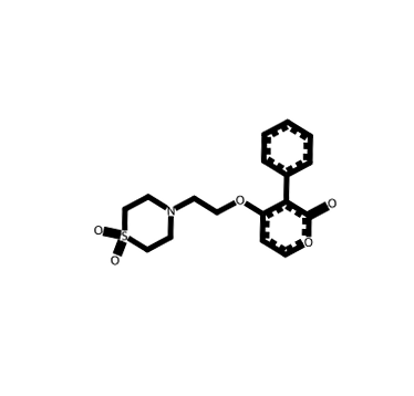 O=c1occc(OCCN2CCS(=O)(=O)CC2)c1-c1ccccc1